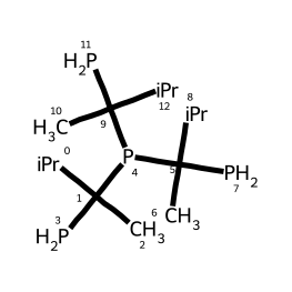 CC(C)C(C)(P)P(C(C)(P)C(C)C)C(C)(P)C(C)C